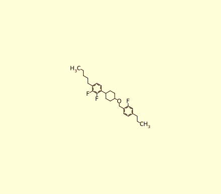 CCCCCc1ccc(C2CCC(OCc3ccc(CCC)cc3F)CC2)c(F)c1F